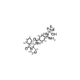 Cc1ccccc1C(=O)N1CCOCC1CNC(=O)c1ccc(C(N)NC(O)C(F)(F)F)cc1